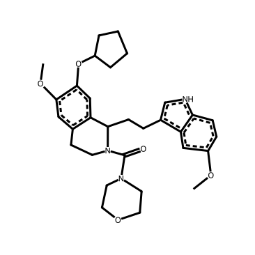 COc1ccc2[nH]cc(CCC3c4cc(OC5CCCC5)c(OC)cc4CCN3C(=O)N3CCOCC3)c2c1